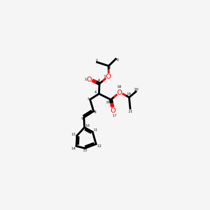 CC(C)OC(=O)C(CC=Cc1ccccc1)C(=O)OC(C)C